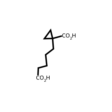 O=C(O)CCCCC1(C(=O)O)CC1